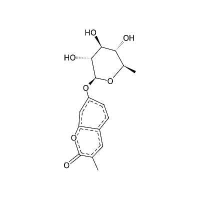 Cc1cc2ccc(O[C@@H]3O[C@H](C)[C@@H](O)[C@H](O)[C@H]3O)cc2oc1=O